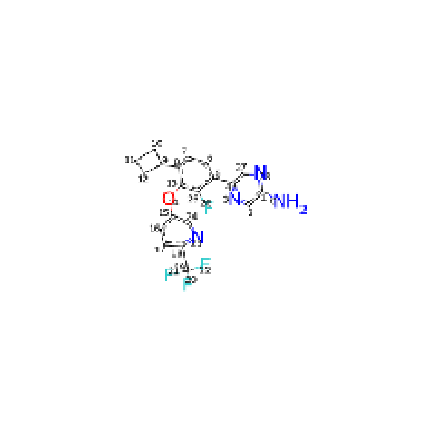 Nc1cnc(-c2ccc(C3CCC3)c(Oc3ccc(C(F)(F)F)nc3)c2F)cn1